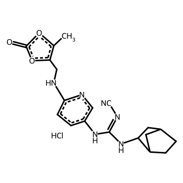 Cc1oc(=O)oc1CNc1ccc(NC(=NC#N)NC2CC3CCC2C3)cn1.Cl